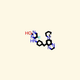 Oc1ncc(F)c(NC2CCC(=Cc3cc(N4CCCCC4)cc4c3=NCCN=4)CC2)n1